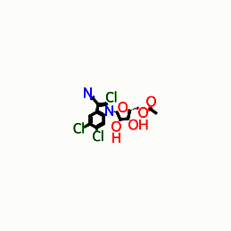 CC(=O)OC[C@H]1O[C@@H](n2c(Cl)c(C#N)c3cc(Cl)c(Cl)cc32)[C@H](O)[C@@H]1O